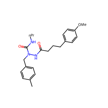 CCCNC(=O)N(Cc1ccc(C)cc1)NC(=O)CCCc1ccc(OC)cc1